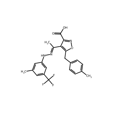 C/C(=N\Nc1cc(C)cc(C(F)(F)F)c1)c1c(C(=O)O)noc1Cc1ccc(C)cc1